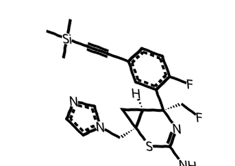 C[Si](C)(C)C#Cc1ccc(F)c([C@@]2(CF)N=C(N)S[C@@]3(Cn4ccnc4)C[C@H]32)c1